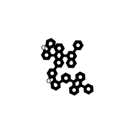 c1ccc(-c2cc(-c3c4ccccc4c(-c4cccc5oc6ccccc6c45)c4cc(-c5ccc6oc7cccc(-c8cccc(-c9c%10ccccc%10c(-c%10ccccc%10)c%10ccccc9%10)c8)c7c6c5)ccc34)c3ccccc3c2)cc1